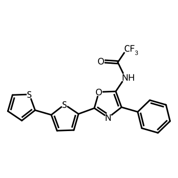 O=C(Nc1oc(-c2ccc(-c3cccs3)s2)nc1-c1ccccc1)C(F)(F)F